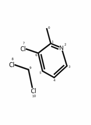 Cc1ncccc1Cl.ClCCl